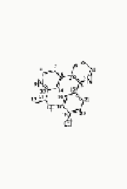 C/C=N\C(=C(/C)c1ccnc(C(C)F)c1)c1ccc(Cl)cc1